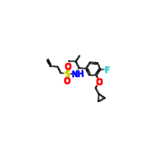 C=CCCS(=O)(=O)N[C@@H](c1ccc(F)c(OCC2CC2)c1)C(C)C